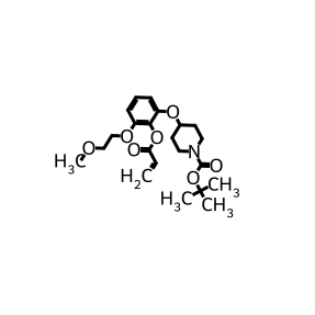 C=CC(=O)Oc1c(OCCOC)cccc1OC1CCN(C(=O)OC(C)(C)C)CC1